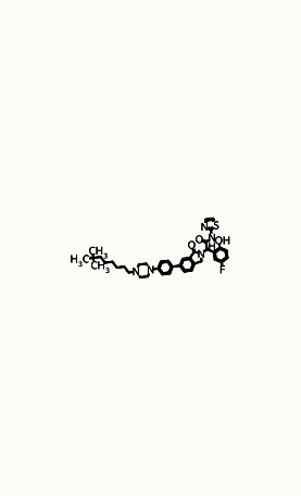 CC(C)(C)CCCCCCN1CCN(c2ccc(-c3ccc4c(c3)C(=O)N(C(C(=O)Nc3nccs3)c3cc(F)ccc3O)C4)cc2)CC1